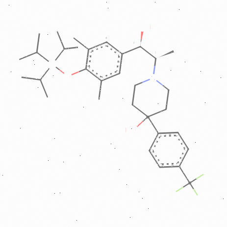 Cc1cc([C@@H](O)[C@@H](C)N2CCC(O)(c3ccc(C(F)(F)F)cc3)CC2)cc(C)c1O[Si](C(C)C)(C(C)C)C(C)C